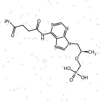 CC(C)C(=O)CCC(=O)Nc1ncnc2c1ncn2C[C@@H](C)OCP(=O)(O)O